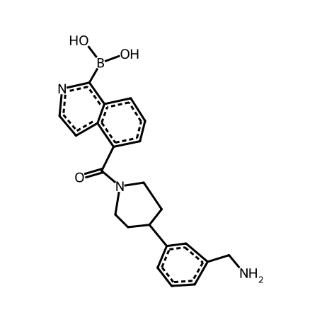 NCc1cccc(C2CCN(C(=O)c3cccc4c(B(O)O)nccc34)CC2)c1